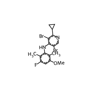 COc1cc(F)c(C)c(Nc2c(Br)cnc(C3CC3)c2Br)c1C